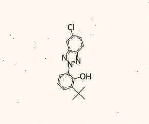 CC(C)(C)c1cccc(-n2nc3ccc(Cl)cc3n2)c1O